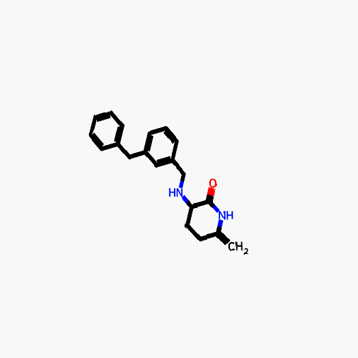 C=C1CCC(NCc2cccc(Cc3ccccc3)c2)C(=O)N1